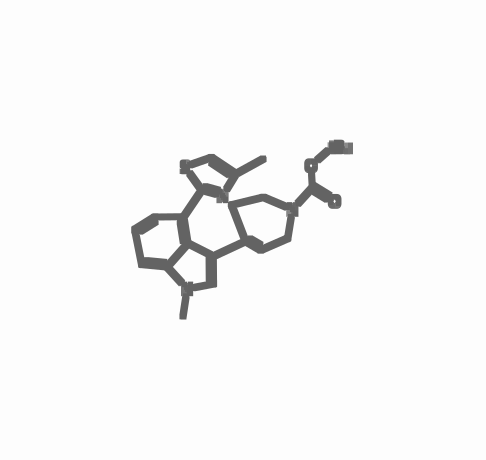 Cc1csc(-c2cccc3c2c(C2=CCN(C(=O)OC(C)(C)C)CC2)cn3C)n1